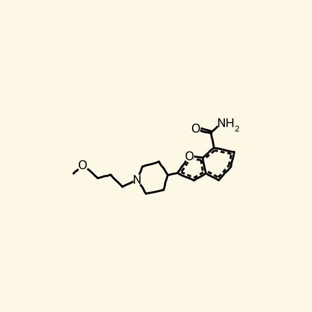 COCCCN1CCC(c2cc3cccc(C(N)=O)c3o2)CC1